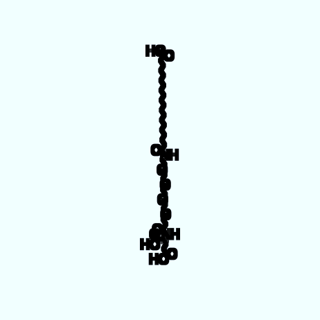 O=C(O)CCCCCCCCCCCCCCCCCCC(=O)NCCOCCOCCOCCOCCC(=O)N[C@@H](CCC(=O)O)C(=O)O